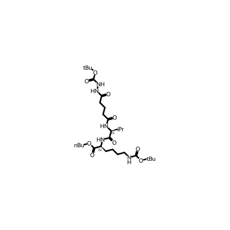 CCCCOC(=O)[C@H](CCCCNC(=O)OC(C)(C)C)NC(=O)[C@@H](NC(=O)CCCC(=O)NNC(=O)OC(C)(C)C)C(C)C